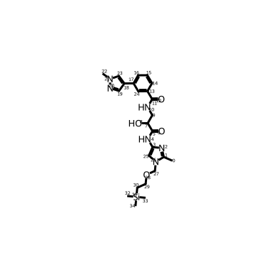 Cc1nc(NC(=O)C(O)CNC(=O)c2cccc(-c3cnn(C)c3)c2)cn1COCC[Si](C)(C)C